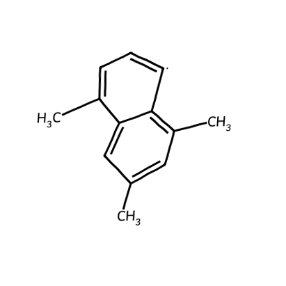 Cc1cc(C)c2[c]ccc(C)c2c1